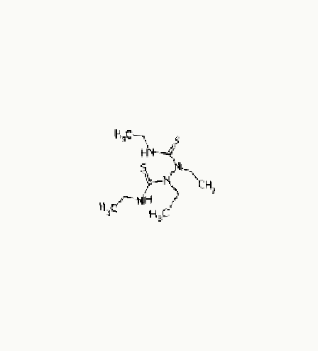 CCNC(=S)N(CC)N(CC)C(=S)NCC